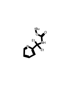 CCC(CC)(NC(=O)OC(C)(C)C)c1ccccn1